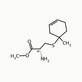 COC(=O)[C@@H](N)CSC1(C)CC=CCC1